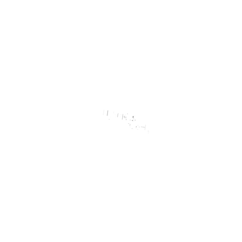 S.[Cu].[GeH4].[SnH2]